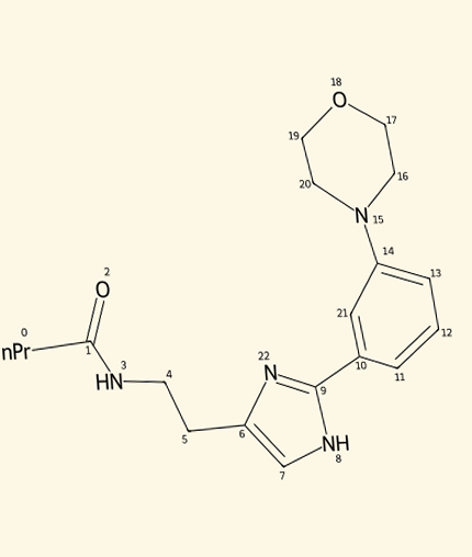 CCCC(=O)NCCc1c[nH]c(-c2cccc(N3CCOCC3)c2)n1